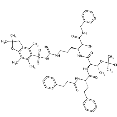 Cc1c(C)c(S(=O)(=O)NC(=N)NCCC[C@H](NC(=O)[C@H](NC(=O)[C@H](CCc2ccccc2)NC(=O)CCc2ccccc2)[C@@H](C)OC(C)(C)C)C(O)C(=O)NCc2cccnc2)c(C)c2c1OC(C)(C)C2